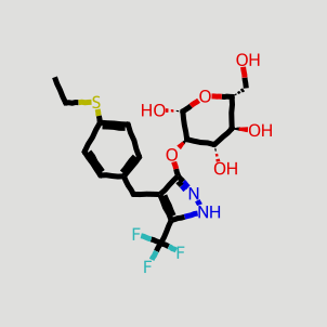 CCSc1ccc(Cc2c(O[C@@H]3[C@@H](O)[C@H](O)[C@@H](CO)O[C@H]3O)n[nH]c2C(F)(F)F)cc1